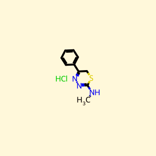 CNC1=NN=C(c2ccccc2)CS1.Cl